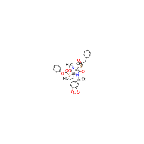 CC[C@H](c1ccc2c(c1)OCO2)N1C(=O)[C@](C)(SC(=O)Cc2ccccc2)N(C)C(=O)[C@]1(CCC#N)SC(=O)Oc1ccccc1